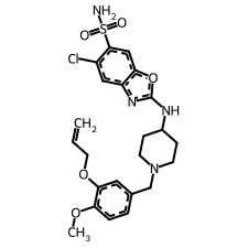 C=CCOc1cc(CN2CCC(Nc3nc4cc(Cl)c(S(N)(=O)=O)cc4o3)CC2)ccc1OC